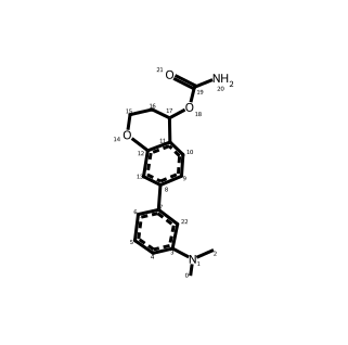 CN(C)c1cccc(-c2ccc3c(c2)OCCC3OC(N)=O)c1